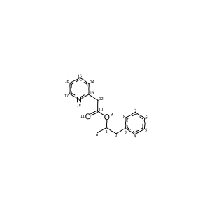 CC(Cc1ccccc1)OC(=O)Cc1ccccn1